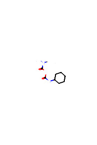 CN(C)C(=O)OC(=O)NC1CCCCC1